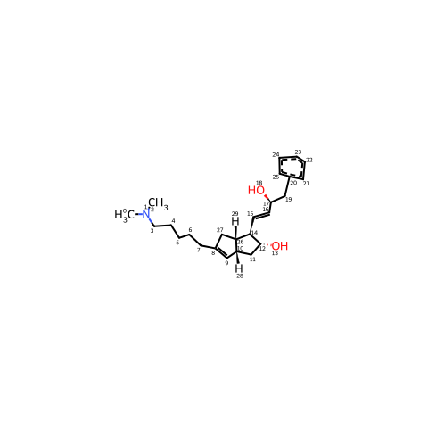 CN(C)CCCCCC1=C[C@H]2C[C@@H](O)[C@H](/C=C/[C@@H](O)Cc3ccccc3)[C@H]2C1